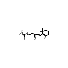 CC1=C(C=CC(=O)CCSC(=S)N(C)C)C(C)(C)CCC1